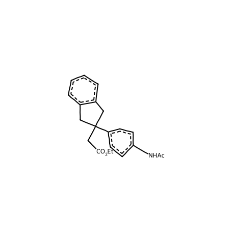 CCOC(=O)CC1(c2ccc(NC(C)=O)cc2)Cc2ccccc2C1